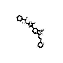 Cc1nc(NC(=O)c2ccccc2)sc1-c1ccc2c(/C=C/c3ccccn3)n[nH]c2c1